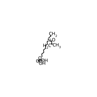 C=CCN(CCCCCCCCOP(=O)(O)O)C(=O)C(=C)C